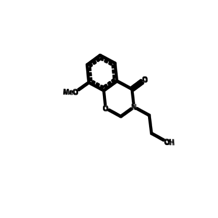 COc1cccc2c1OCN(CCO)C2=O